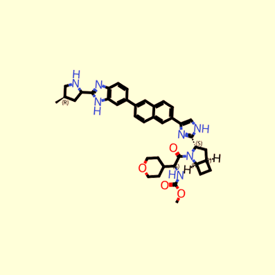 COC(=O)N[C@H](C(=O)N1[C@@H]2CC[C@@H]2C[C@H]1c1nc(-c2ccc3cc(-c4ccc5nc(C6C[C@@H](C)CN6)[nH]c5c4)ccc3c2)c[nH]1)C1CCOCC1